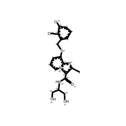 Cc1nc2c(OCc3cccc(Cl)c3Cl)cccn2c1C(=O)NC(CO)CO